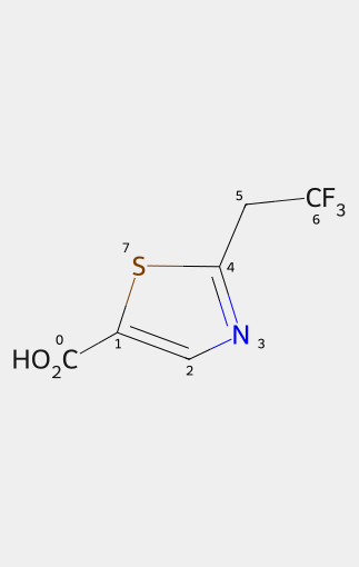 O=C(O)c1cnc(CC(F)(F)F)s1